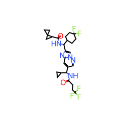 O=C(CCC(F)(F)F)NC(c1cnn2cc([C@@H](NC(=O)C3CC34CC4)C3CCC(F)(F)CC3)nc2c1)C1CC1